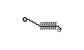 FC(F)(CCCCCCCCc1ccccc1)C(F)(F)C(F)(F)C(F)(F)C(F)(F)C(F)(F)C(F)(F)C(F)(F)CC1CO1